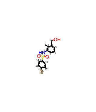 Cc1c(CO)cccc1NS(=O)(=O)c1ccc(Br)cc1